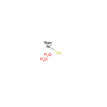 N#CS.O.O.[NaH]